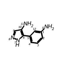 Nc1cccc(-c2[nH]ncc2N)c1